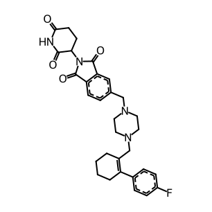 O=C1CCC(N2C(=O)c3ccc(CN4CCN(CC5=C(c6ccc(F)cc6)CCCC5)CC4)cc3C2=O)C(=O)N1